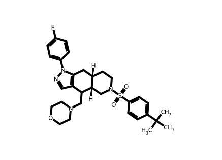 CC(C)(C)c1ccc(S(=O)(=O)N2CC[C@H]3Cc4c(cnn4-c4ccc(F)cc4)C(CN4CCOCC4)[C@H]3C2)cc1